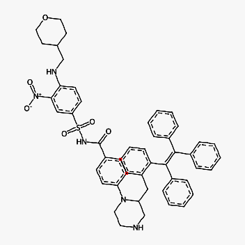 O=C(NS(=O)(=O)c1ccc(NCC2CCOCC2)c([N+](=O)[O-])c1)c1ccc(N2CCNCC2Cc2ccccc2C(=C(c2ccccc2)c2ccccc2)c2ccccc2)cc1